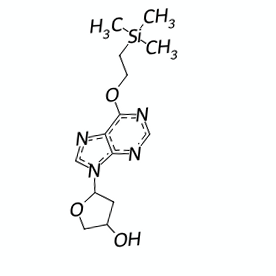 C[Si](C)(C)CCOc1ncnc2c1ncn2C1CC(O)CO1